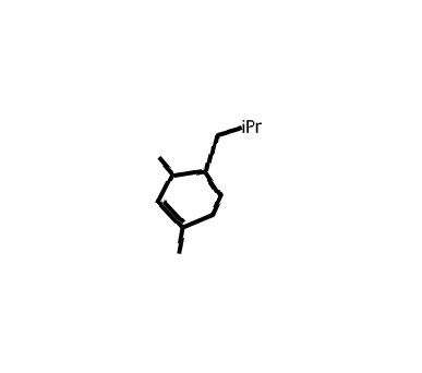 CC1=CC(C)C(CC(C)C)CC1